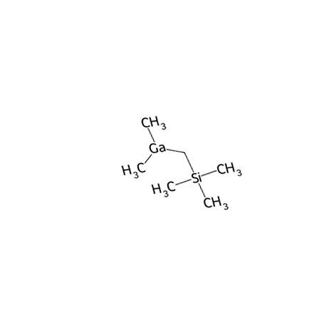 [CH3][Ga]([CH3])[CH2][Si](C)(C)C